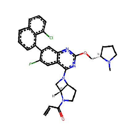 C=CC(=O)N1CCC2[C@H]1CN2c1nc(OC[C@@H]2CCCN2C)nc2cc(-c3cccc4cccc(Cl)c34)c(F)cc12